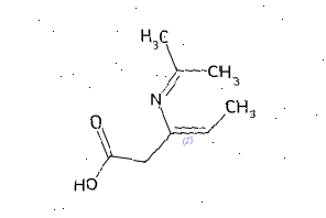 C/C=C(/CC(=O)O)N=C(C)C